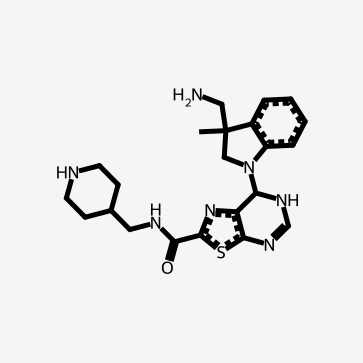 CC1(CN)CN(C2NC=Nc3sc(C(=O)NCC4CCNCC4)nc32)c2ccccc21